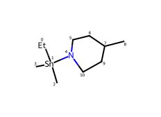 C[CH2][Sn]([CH3])([CH3])[N]1CCC(C)CC1